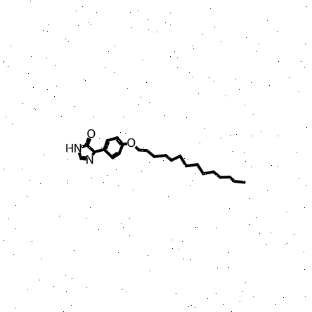 CCCCCCCCCCCCCCOc1ccc(C2N=CNC2=O)cc1